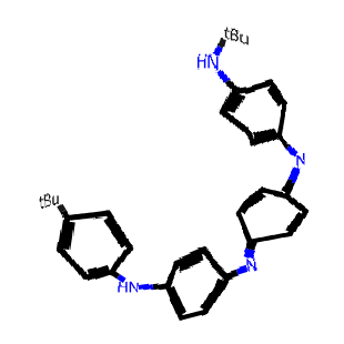 CC(C)(C)Nc1ccc(N=C2C=CC(=Nc3ccc(Nc4ccc(C(C)(C)C)cc4)cc3)C=C2)cc1